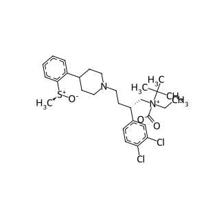 CC[N+](C[C@@H](CCN1CCC(c2ccccc2[S@+](C)[O-])CC1)c1ccc(Cl)c(Cl)c1)(C(=O)[O-])C(C)(C)C